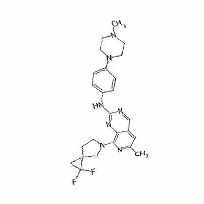 Cc1cc2cnc(Nc3ccc(N4CCN(C)CC4)cc3)nc2c(N2CCC3(C2)CC3(F)F)n1